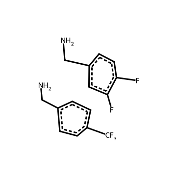 NCc1ccc(C(F)(F)F)cc1.NCc1ccc(F)c(F)c1